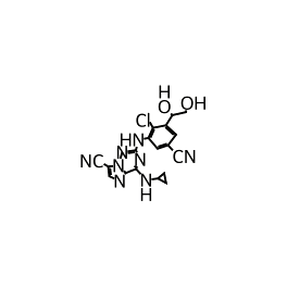 N#Cc1cc(Nc2nc(NC3CC3)c3ncc(C#N)n3n2)c(Cl)c(C(O)CO)c1